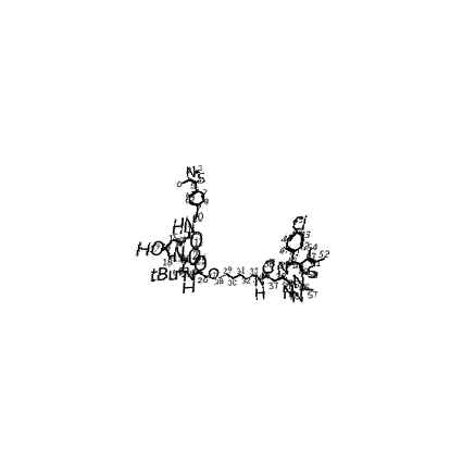 Cc1ncsc1-c1ccc(CNC(=O)[C@@H]2CC(O)CN2C(=O)[C@@H](NC(=O)COCCCCCCNC(=O)CC2N=C(c3ccc(Cl)cc3)c3c(sc(C)c3C)-n3c(C)nnc32)C(C)(C)C)cc1